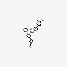 COc1ccc(C23CCC(CN(C(=O)C4CC[CH]CC4)c4cccc(-c5cnn(C6CC6)c5)c4)(CC2)CC3)cc1C